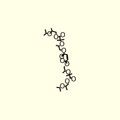 CC(C)OC(C)COC(=O)C(C)(C)OC(C)COC(=O)/C=C\C(=O)OCC(C)OC(C)(C)C(=O)OCC(C)OC(C)C